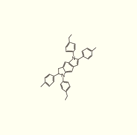 CCc1ccc(N2c3cc4cc(-c5ccc(C)cc5)n(-c5ccc(CC)cc5)c4cc3CC2c2ccc(C)cc2)cc1